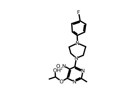 Cc1nc(OC(C)O)c([N+](=O)[O-])c(N2CCN(c3ccc(F)cc3)CC2)n1